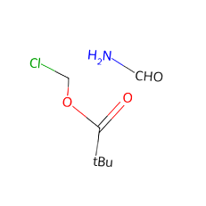 CC(C)(C)C(=O)OCCl.NC=O